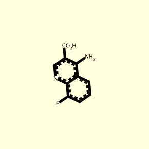 Nc1c(C(=O)O)cnc2c(F)cccc12